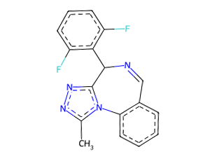 Cc1nnc2n1-c1ccccc1C=NC2c1c(F)cccc1F